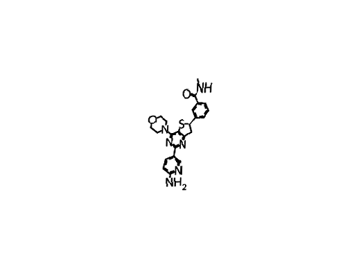 CNC(=O)c1cccc(C2Cc3nc(-c4ccc(N)nc4)nc(N4CCOCC4)c3S2)c1